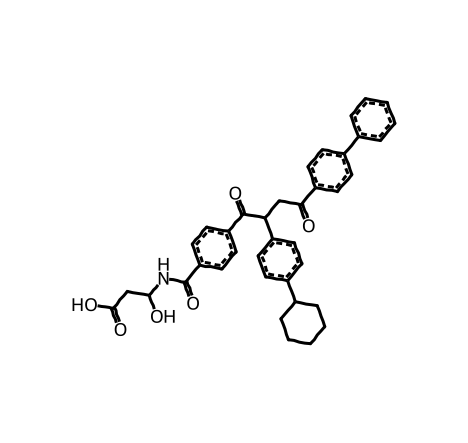 O=C(O)CC(O)NC(=O)c1ccc(C(=O)C(CC(=O)c2ccc(-c3ccccc3)cc2)c2ccc(C3CCCCC3)cc2)cc1